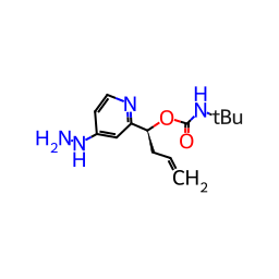 C=CC[C@H](OC(=O)NC(C)(C)C)c1cc(NN)ccn1